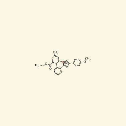 CCOC(=O)C1=CN(C)C=C(C#N)C1c1ccccc1-c1nc(-c2ccc(OC)cc2)cs1